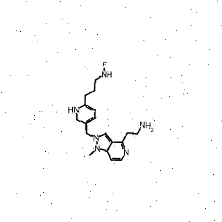 CN1C2C=CN=C(CCN)C2=CN1CC1=CC=C(CCCNF)NC1